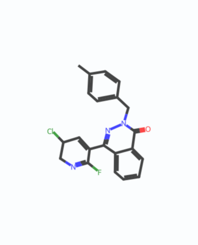 Cc1ccc(Cn2nc(C3=CC(Cl)CN=C3F)c3ccccc3c2=O)cc1